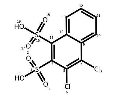 O=S(=O)(O)c1c(Cl)c(Cl)c2ccccc2c1S(=O)(=O)O